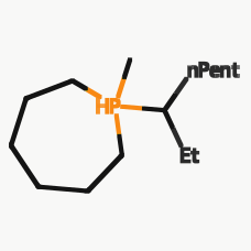 CCCCCC(CC)[PH]1(C)CCCCCC1